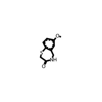 COc1ccc2c(c1)CNC(=O)CS2